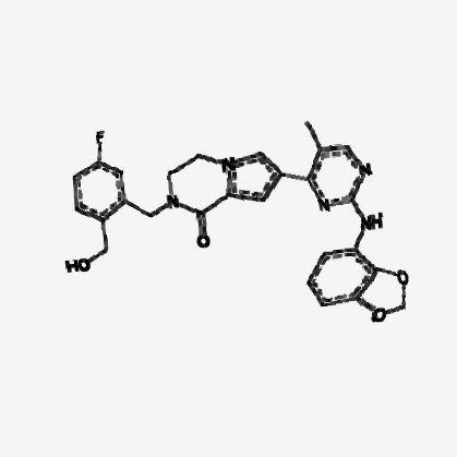 Cc1cnc(Nc2cccc3c2OCO3)nc1-c1cc2n(c1)CCN(Cc1cc(F)ccc1CO)C2=O